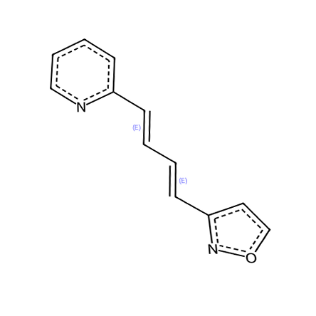 C(/C=C/c1ccon1)=C\c1ccccn1